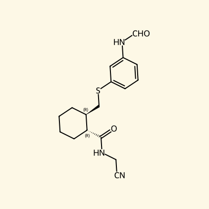 N#CCNC(=O)[C@@H]1CCCC[C@H]1CSc1cccc(NC=O)c1